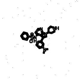 CN(C)c1cccc(-c2cn(C3CCNCC3)c3nccc(NS(=O)(=O)c4ccccc4)c23)c1